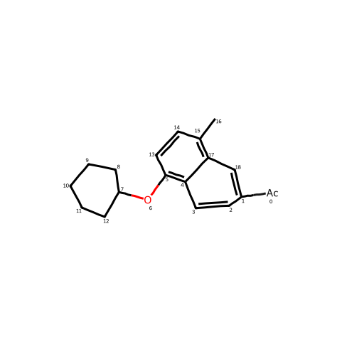 CC(=O)c1ccc2c(OC3CCCCC3)ccc(C)c2c1